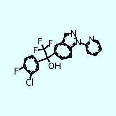 OC(c1ccc(F)c(Cl)c1)(c1ccc2c(cnn2-c2ccccn2)c1)C(F)(F)F